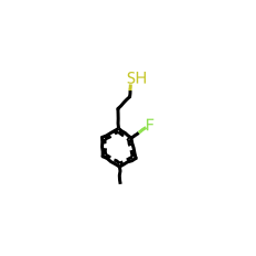 Cc1ccc(CCS)c(F)c1